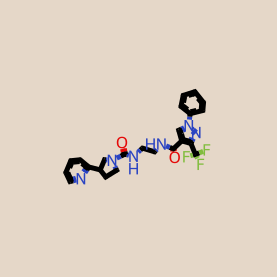 O=C(NCCNC(=O)N1CCC(c2ccccn2)C1)c1cn(-c2ccccc2)nc1C(F)(F)F